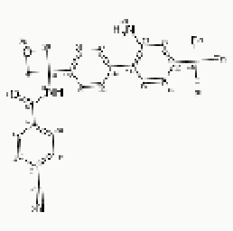 N#Cc1ccc(C(=O)NC2(c3ccc(-c4cnc(C(F)(F)F)cc4N)cc3)COC2)cc1